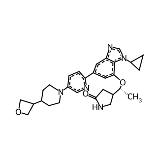 C[C@@H](Oc1cc(-c2ccc(N3CCC(C4COC4)CC3)cn2)cc2ncn(C3CC3)c12)C1CNC(=O)C1